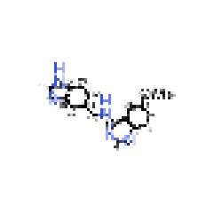 COc1ccc2ncnc(NCc3ccc4[nH]cnc4c3)c2c1